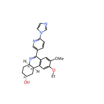 CCOc1cc2c(cc1OC)C(c1ccc(-n3ccnc3)nc1)=N[C@@H]1CC[C@@H](O)C[C@H]21